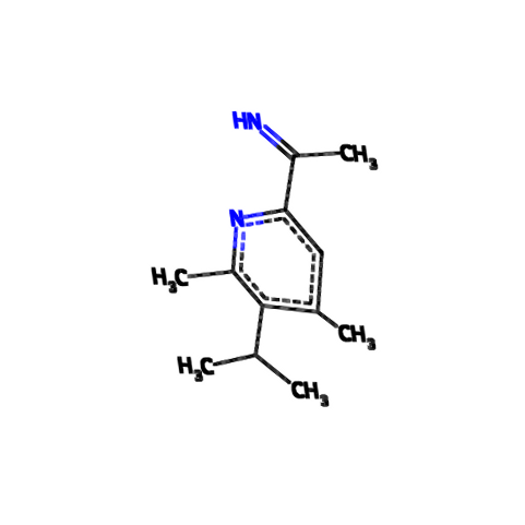 CC(=N)c1cc(C)c(C(C)C)c(C)n1